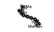 CN[C@H](C(=O)N1CCC[C@H]1c1nc2ccc(-c3ccc(-c4ccc(-c5ccc6nc([C@@H]7CCCN7C(=O)CNC(=O)OC)[nH]c6c5)cc4)cc3)cc2[nH]1)C(C)C